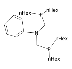 CCCCCCP(CCCCCC)CN(CP(CCCCCC)CCCCCC)c1ccccc1